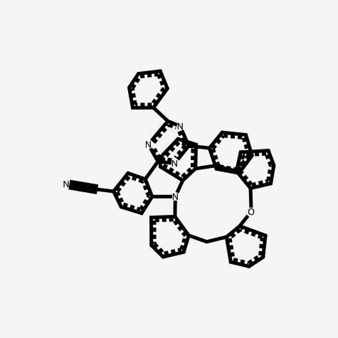 N#Cc1ccc(N2c3ccccc3Cc3ccccc3Oc3ccccc3Cc3ccccc32)c(-c2nc(-c3ccccc3)nc(-c3ccccc3)n2)c1